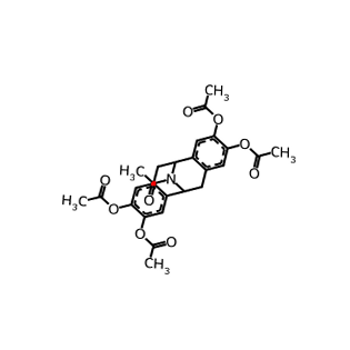 CC(=O)Oc1cc2c(cc1OC(C)=O)C1Cc3cc(OC(C)=O)c(OC(C)=O)cc3C(C2)N1C(C)=O